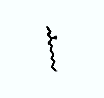 [CH2]CCCCCCOC(=O)C=CC